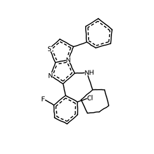 Fc1cccc(Cl)c1-c1nc2scc(-c3ccccc3)n2c1NC1CCCCC1